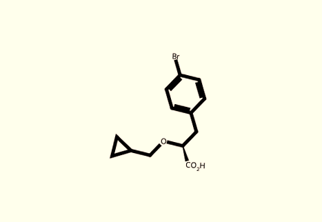 O=C(O)[C@H](Cc1ccc(Br)cc1)OCC1CC1